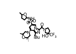 CCC(C)c1nc(C(=O)N2CC[C@@](O)(C(F)(F)F)C2)n2cc(S(=O)(=O)NC3CCC(C)O3)cc(N3C[C@H](C)O[C@@H](C)C3)c12